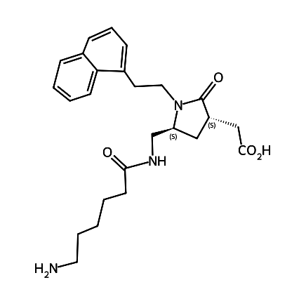 NCCCCCC(=O)NC[C@@H]1C[C@@H](CC(=O)O)C(=O)N1CCc1cccc2ccccc12